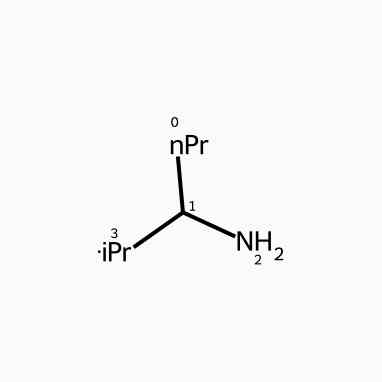 CCCC(N)[C](C)C